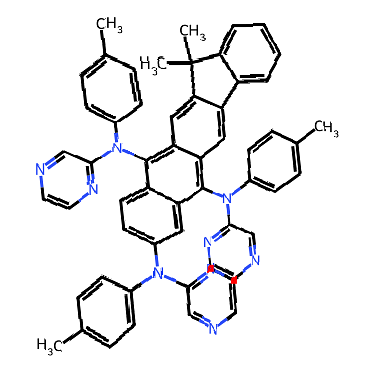 Cc1ccc(N(c2ccc3c(N(c4ccc(C)cc4)c4cnccn4)c4cc5c(cc4c(N(c4ccc(C)cc4)c4cnccn4)c3c2)-c2ccccc2C5(C)C)c2cnccn2)cc1